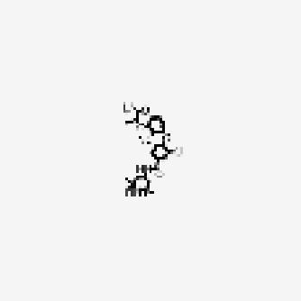 CC(Oc1cccc(Oc2ccc(C(=O)NC3CC(C)(C)NC(C)(C)C3)cc2Cl)c1C#N)C(N)=O